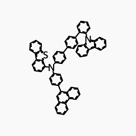 c1ccc(-n2c3ccccc3c3ccccc32)c(-c2ccc(-c3ccc(N(c4ccc(-c5cc6ccccc6c6ccccc56)cc4)c4cccc5c4sc4ccccc45)cc3)cc2)c1